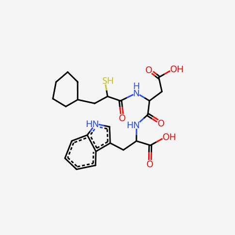 O=C(O)CC(NC(=O)C(S)CC1CCCCC1)C(=O)NC(Cc1c[nH]c2ccccc12)C(=O)O